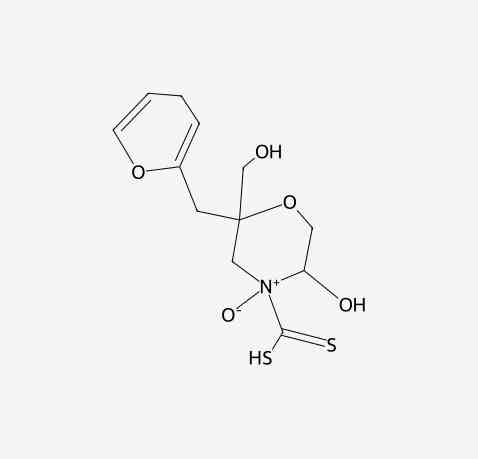 [O-][N+]1(C(=S)S)CC(CO)(CC2=CCC=CO2)OCC1O